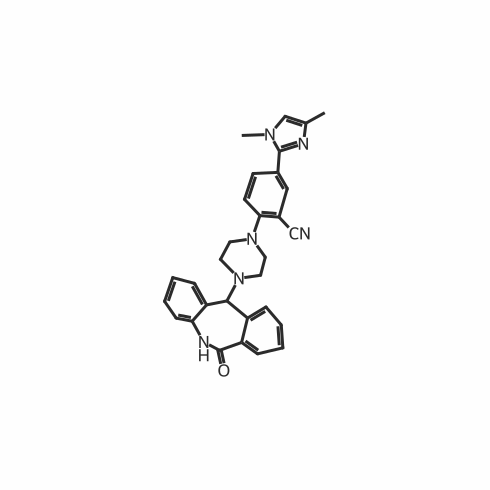 Cc1cn(C)c(-c2ccc(N3CCN(C4c5ccccc5NC(=O)c5ccccc54)CC3)c(C#N)c2)n1